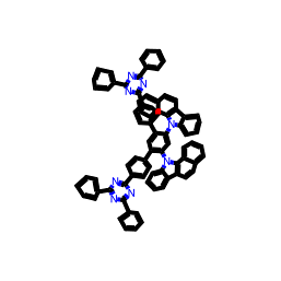 c1ccc(-c2nc(-c3ccccc3)nc(-c3ccc(-c4cc(-c5ccc(-c6nc(-c7ccccc7)nc(-c7ccccc7)n6)cc5)c(-n5c6ccccc6c6ccc7ccccc7c65)cc4-n4c5ccccc5c5ccc6ccccc6c54)cc3)n2)cc1